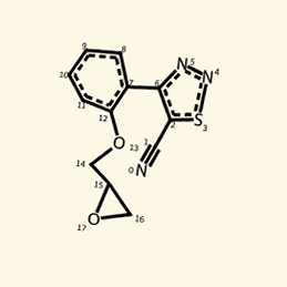 N#Cc1snnc1-c1ccccc1OCC1CO1